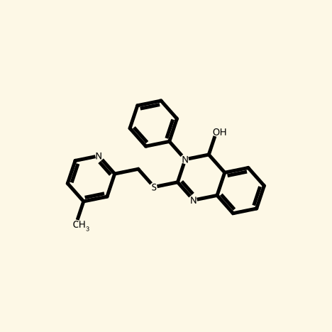 Cc1ccnc(CSC2=Nc3ccccc3C(O)N2c2ccccc2)c1